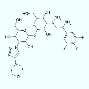 N/C(=C\N(N)C1C(O)C(CO)OC(SC2OC(CO)C(O)C(n3cc(N4CCOCC4)nn3)C2O)C1O)c1cc(F)c(F)c(F)c1